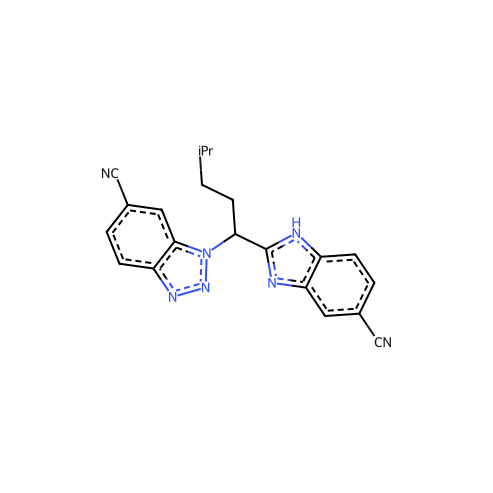 CC(C)CCC(c1nc2cc(C#N)ccc2[nH]1)n1nnc2ccc(C#N)cc21